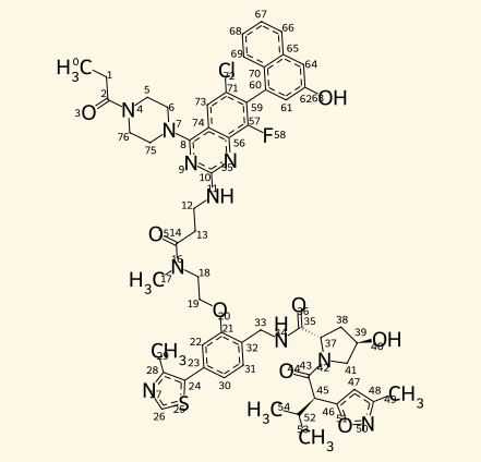 CCC(=O)N1CCN(c2nc(NCCC(=O)N(C)CCOc3cc(-c4scnc4C)ccc3CNC(=O)[C@@H]3C[C@@H](O)CN3C(=O)[C@@H](c3cc(C)no3)C(C)C)nc3c(F)c(-c4cc(O)cc5ccccc45)c(Cl)cc23)CC1